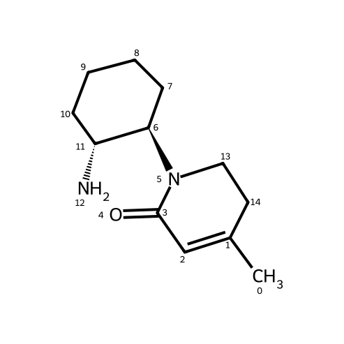 CC1=CC(=O)N([C@@H]2CCCC[C@H]2N)CC1